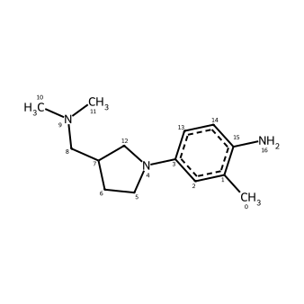 Cc1cc(N2CCC(CN(C)C)C2)ccc1N